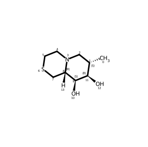 C[C@H]1CN2CCSC[C@H]2[C@H](O)[C@@H]1O